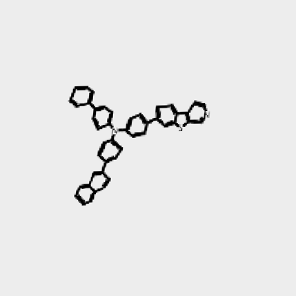 c1ccc(-c2ccc(N(c3ccc(-c4ccc5ccccc5c4)cc3)c3ccc(-c4ccc5c(c4)sc4cnccc45)cc3)cc2)cc1